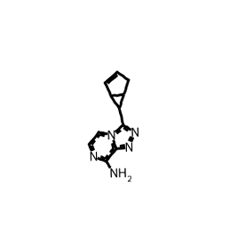 Nc1nccn2c(C3C4C=CCC43)nnc12